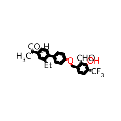 CCc1cc(C(C)C(=O)O)ccc1-c1ccc(OCc2ccc(C(F)(F)F)c(O)c2C=O)cc1